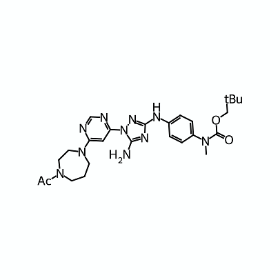 CC(=O)N1CCCN(c2cc(-n3nc(Nc4ccc(N(C)C(=O)OCC(C)(C)C)cc4)nc3N)ncn2)CC1